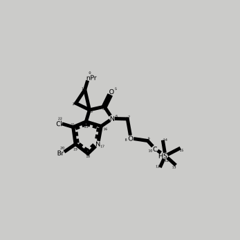 CCCC1CC12C(=O)N(COCC[SH](C)(C)(C)C)c1ncc(Br)c(Cl)c12